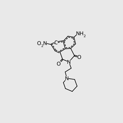 Nc1cc2c3c(cc([N+](=O)[O-])cc3c1)C(=O)N(CCN1CCCCC1)C2=O